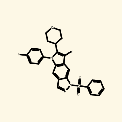 O=S(=O)(c1ccccc1)n1ncc2cc3c(cc21)c(I)c(C1CCOCC1)n3-c1ccc(F)cc1